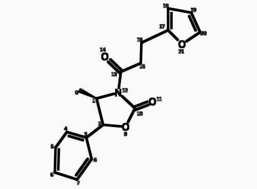 C[C@@H]1C(c2ccccc2)OC(=O)N1C(=O)CCc1ccco1